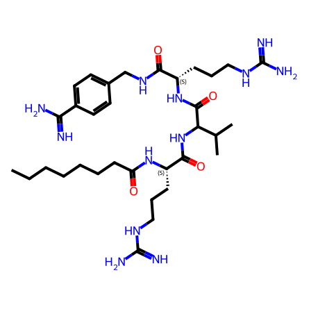 CCCCCCCC(=O)N[C@@H](CCCNC(=N)N)C(=O)NC(C(=O)N[C@@H](CCCNC(=N)N)C(=O)NCc1ccc(C(=N)N)cc1)C(C)C